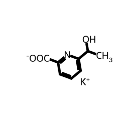 CC(O)c1cccc(C(=O)[O-])n1.[K+]